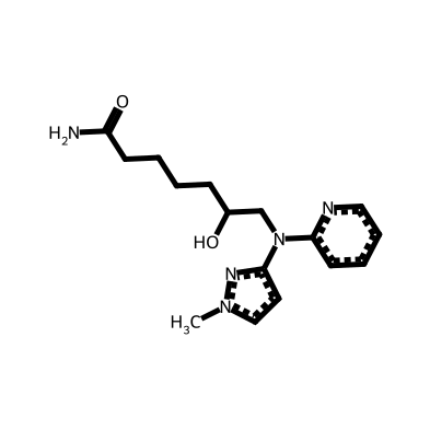 Cn1ccc(N(CC(O)CCCCC(N)=O)c2ccccn2)n1